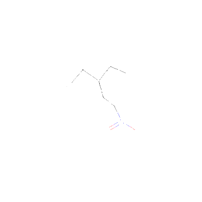 CCC(CC)CC[N+](=O)[O-]